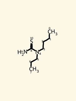 CCCCN(CCC)C(N)=S